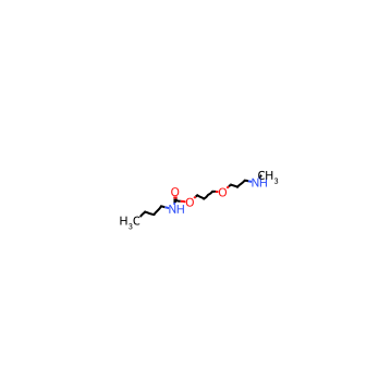 CCCCNC(=O)OCCCOCCCNC